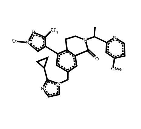 CCn1cc(-c2cc(Cn3ccnc3C3CC3)cc3c2CCN([C@@H](C)c2cc(OC)ccn2)C3=O)c(C(F)(F)F)n1